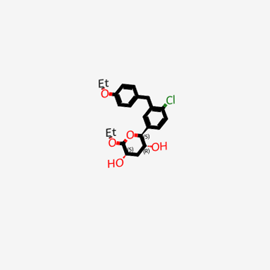 CCOc1ccc(Cc2cc([C@@H]3OC(OCC)[C@@H](O)C[C@H]3O)ccc2Cl)cc1